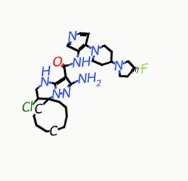 Nc1nn2c(c1C(=O)Nc1cnccc1N1CCC(N3CC[C@@H](F)C3)CC1)NCC(Cl)C21CCCCCCCCC1